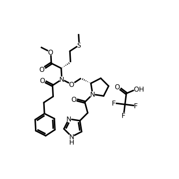 COC(=O)[C@H](CCSC)N(OC[C@@H]1CCCN1C(=O)Cc1c[nH]cn1)C(=O)CCc1ccccc1.O=C(O)C(F)(F)F